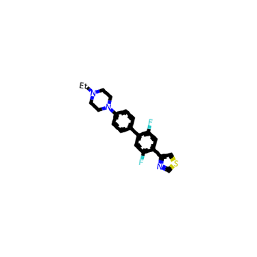 CCN1CCN(c2ccc(-c3cc(F)c(-c4cs[c]n4)cc3F)cc2)CC1